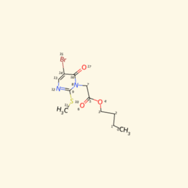 CCCCOC(=O)Cn1c(SC)ncc(Br)c1=O